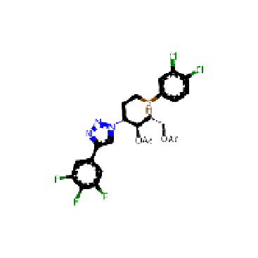 CC(=O)OC[C@@H]1[C@@H](OC(C)=O)[C@H](n2cc(-c3cc(F)c(F)c(F)c3)nn2)CC[SH]1c1ccc(Cl)c(Cl)c1